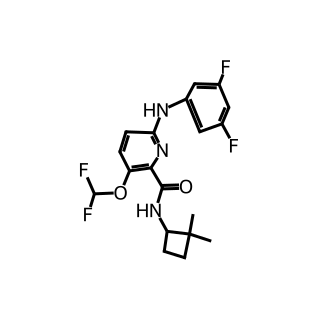 CC1(C)CCC1NC(=O)c1nc(Nc2cc(F)cc(F)c2)ccc1OC(F)F